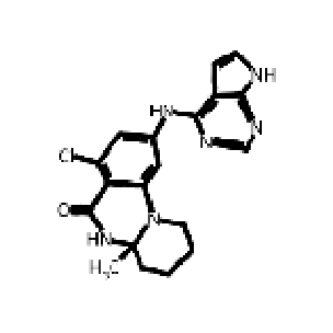 CC12CCCCN1c1cc(Nc3ncnc4[nH]ccc34)cc(Cl)c1C(=O)N2